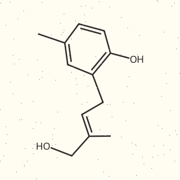 C/C(=C\Cc1cc(C)ccc1O)CO